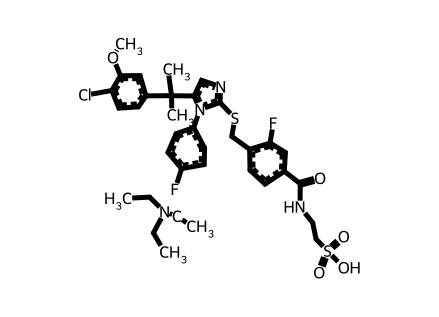 CCN(CC)CC.COc1cc(C(C)(C)c2cnc(SCc3ccc(C(=O)NCCS(=O)(=O)O)cc3F)n2-c2ccc(F)cc2)ccc1Cl